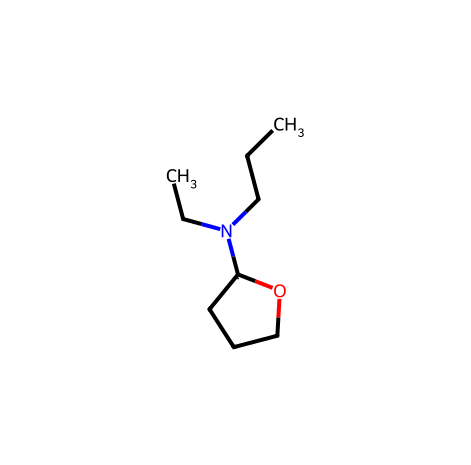 CCCN(CC)[C]1CCCO1